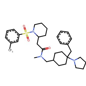 CN(CC1CCC(Cc2ccccc2)(N2CCCC2)CC1)C(=O)CC1CCCCN1S(=O)(=O)c1cccc(C(F)(F)F)c1